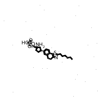 CCCCCCc1nc2c(s1)-c1ccc([C@H]3CC[C@](N)(COP(=O)(O)O)C3)cc1CC2